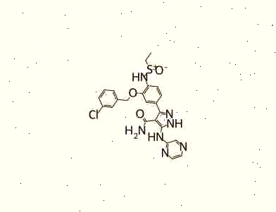 CC[S+]([O-])Nc1ccc(-c2n[nH]c(Nc3cnccn3)c2C(N)=O)cc1OCc1cccc(Cl)c1